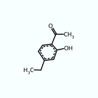 CCc1ccc(C(C)=O)c(O)c1